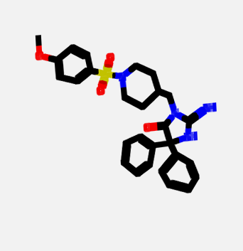 COc1ccc(S(=O)(=O)N2CCC(CN3C(=N)NC(c4ccccc4)(c4ccccc4)C3=O)CC2)cc1